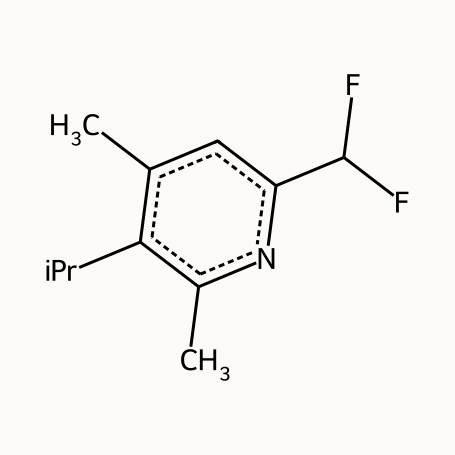 Cc1cc(C(F)F)nc(C)c1C(C)C